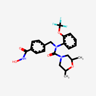 CC1CN(C(=O)N(Cc2ccc(C(=O)NO)cc2)c2ccccc2OC(F)(F)F)CC(C)O1